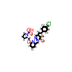 O=C(O)N1CCC[C@@H]1COc1cccc(Cn2ncc3cc(-c4ccc(Cl)cc4)sc3c2=O)n1